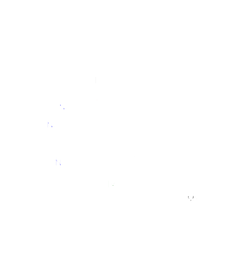 CCOc1n[nH]c2ncc(Br)c(Cc3ccc(OC)cc3)c12